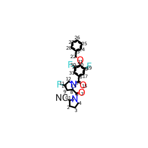 N#CC1CCCN1C(=O)C1CC(F)CN1C(=O)c1cc(F)c(OCc2ccccc2)c(F)c1